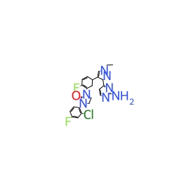 CCn1cc(C2C=CC(F)=C(N3CCN(c4ccc(F)cc4Cl)C3=O)C2)c(-c2ccnc(N)n2)n1